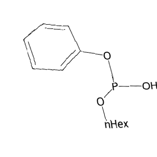 CCCCCCOP(O)Oc1ccccc1